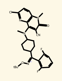 CN(c1c(C#N)c(=O)n(C)c2ccc(Cl)nc12)C1CCC(/C(=N\OC(C)(C)C)c2c(F)cccc2F)CC1